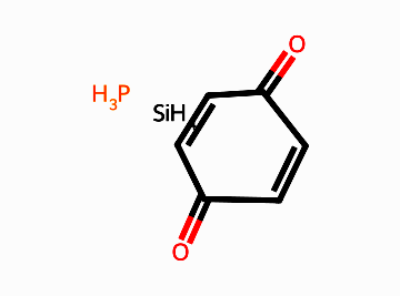 O=C1C=CC(=O)C=C1.P.[SiH4]